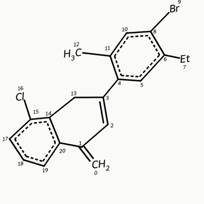 C=C1C=C(c2cc(CC)c(Br)cc2C)Cc2c(Cl)cccc21